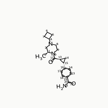 C[C@H]1CN(C2CCC2)CCN1C(=O)[C@H]1C[C@@H]1c1ccc(C(N)=O)cc1